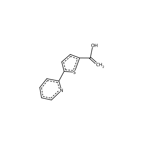 C=C(O)c1ccc(-c2ccccn2)s1